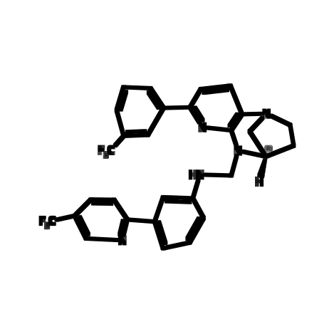 FC(F)(F)c1ccc(-c2cccc(NCN3c4nc(-c5cccc(C(F)(F)F)c5)ccc4N4CC[C@H]3C4)c2)nc1